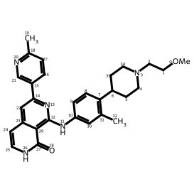 COCCN1CCC(c2ccc(Nc3nc(-c4ccc(C)nc4)cc4cc[nH]c(=O)c34)cc2C)CC1